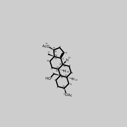 CC(=O)O[C@H]1CC[C@@]2(CO)[C@@H](CC[C@H]3C4=CC[C@H](OC(C)=O)[C@@]4(C)CC[C@@H]32)C1